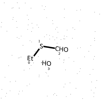 CCSC=O.[OH]